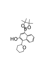 CC1(C)OB(c2cc(O)c(C3CCCCO3)c3ccccc23)OC1(C)C